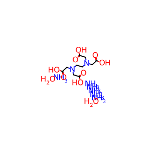 N.N.N.N.N.N.O.O.O=C(O)CN(CCN(CC(=O)O)CC(=O)O)CC(=O)O